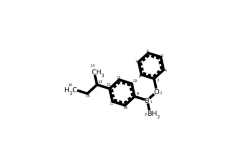 BB(Oc1ccccc1)c1ccc(C(C)CC)cc1